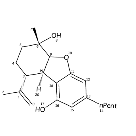 C=C(C)[C@@H]1CC[C@](C)(O)C2Oc3cc(CCCCC)cc(O)c3[C@H]21